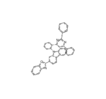 c1ccc(-c2cc(-c3ccccc3-n3c4ccccc4c4ccc(-c5nc6ccccc6o5)cc43)nc(-c3ccccc3)n2)cc1